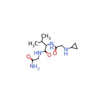 CC(C)[C@@H](NC(=O)CNC1CC1)C(=O)NCC(N)=O